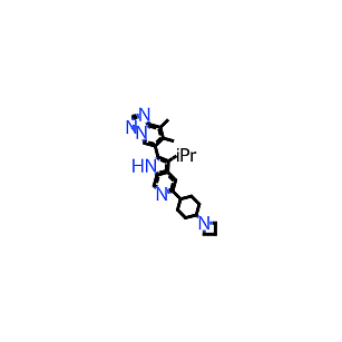 Cc1c(-c2[nH]c3cnc(C4CCC(N5CCC5)CC4)cc3c2C(C)C)cn2ncnc2c1C